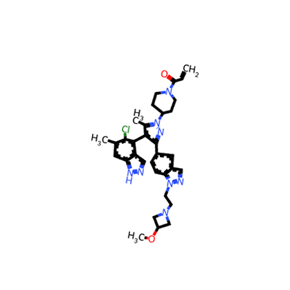 C=CC(=O)N1CCC(n2nc(-c3ccc4c(cnn4CCN4CC(OC)C4)c3)c(-c3c(Cl)c(C)cc4[nH]ncc34)c2C)CC1